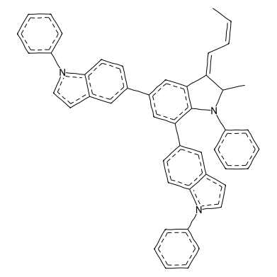 C/C=C\C=C1\c2cc(-c3ccc4c(ccn4-c4ccccc4)c3)cc(-c3ccc4c(ccn4-c4ccccc4)c3)c2N(c2ccccc2)C1C